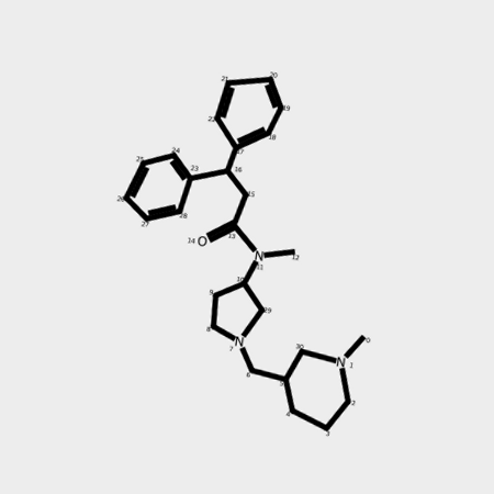 CN1CCCC(CN2CCC(N(C)C(=O)CC(c3ccccc3)c3ccccc3)C2)C1